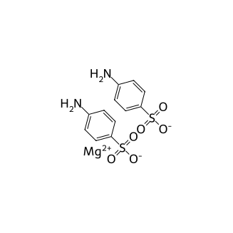 Nc1ccc(S(=O)(=O)[O-])cc1.Nc1ccc(S(=O)(=O)[O-])cc1.[Mg+2]